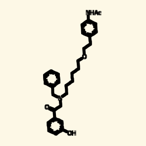 CC(=O)Nc1ccc(CCOCCCCCCN(CC(=O)c2cccc(O)c2)Cc2ccccc2)cc1